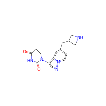 O=C1CCN(c2cnn3ccc(CC4CNC4)cc23)C(=O)N1